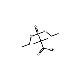 CCOP(=O)(OCC)C(C)(C)C(=O)O